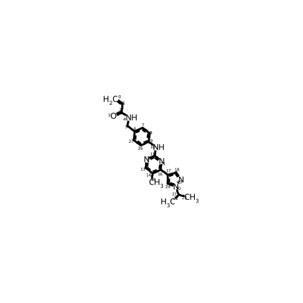 C=CC(=O)NCc1ccc(Nc2ncc(C)c(-c3cnn(C(C)C)c3)n2)cc1